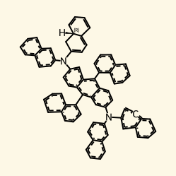 C1=CC2=CC=C(N(c3ccc4ccccc4c3)c3ccc4c(-c5cccc6ccccc56)c5cc(N(c6ccc7ccccc7c6)c6ccc7ccccc7c6)ccc5c(-c5cccc6ccccc56)c4c3)C[C@@H]2C=C1